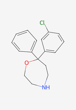 Clc1cccc(C2(c3ccccc3)CCNCCO2)c1